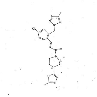 Cc1nnn(Cc2cc(Cl)ccc2C=CC(=O)N2CC[C@@H](c3nnc(C)o3)C[C@H]2C)n1